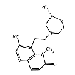 Cn1c(=O)ccc2ncc(C#N)c(CCN3CC[CH][C@@H](O)C3)c21